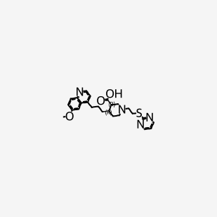 COc1ccc2nccc(CCC[C@@H]3CCN(CCSc4ncccn4)C[C@@H]3C(=O)O)c2c1